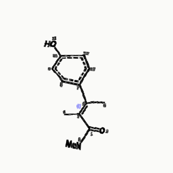 CNC(=O)/C(C)=C(\C)c1ccc(O)cc1